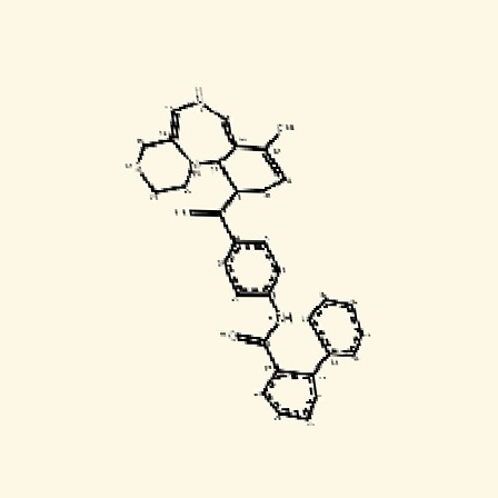 O=C(Nc1ccc(C(=O)C2CC=C(F)C3=CNC=C4CSCCN4C32)cc1)c1ccccc1-c1ccccc1